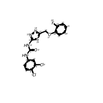 O=C(Nc1ccc(Cl)c(Cl)c1)Nc1nnc(COc2ccccc2F)s1